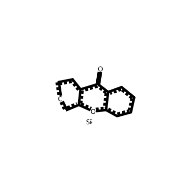 O=c1c2ccccc2oc2ccccc12.[Si]